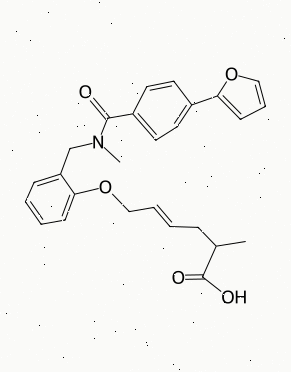 CC(CC=CCOc1ccccc1CN(C)C(=O)c1ccc(-c2ccco2)cc1)C(=O)O